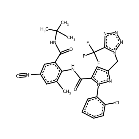 [C-]#[N+]c1cc(C)c(NC(=O)c2cc(Cn3nnnc3C(F)(F)F)nn2-c2ccccc2Cl)c(C(=O)NC(C)(C)C)c1